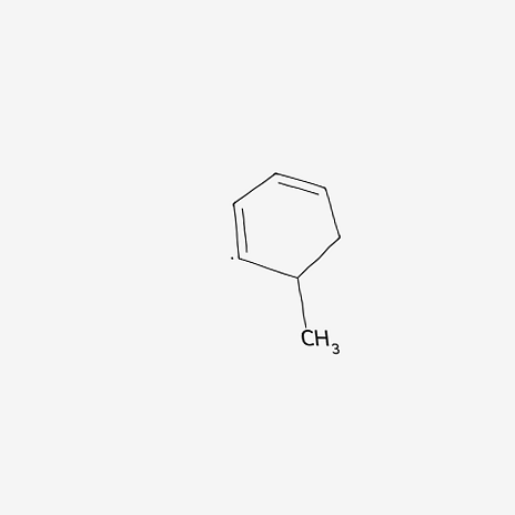 CC1[C]=CC=CC1